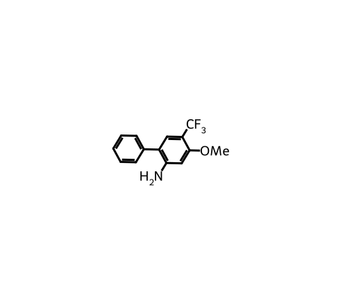 COc1cc(N)c(-c2ccccc2)cc1C(F)(F)F